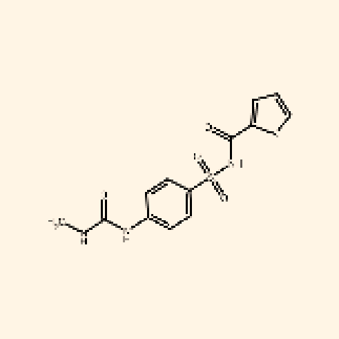 CNC(=O)Nc1ccc(S(=O)(=O)NC(=O)c2cccs2)cc1